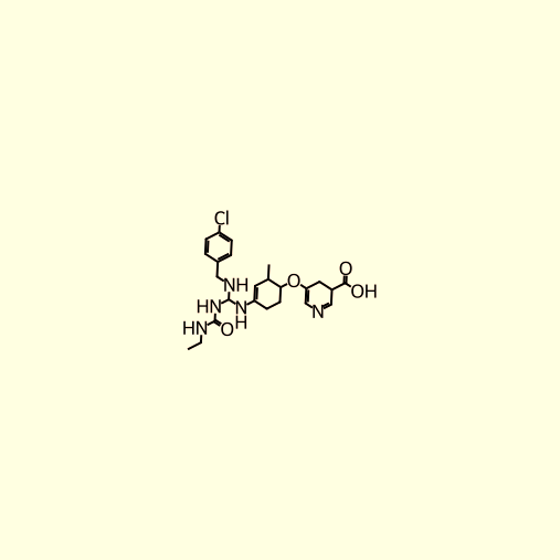 CCNC(=O)NC(NCc1ccc(Cl)cc1)NC1=CC(C)C(OC2=CN=CC(C(=O)O)C2)CC1